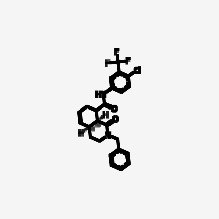 O=C(Nc1ccc(Cl)c(C(F)(F)F)c1)C1CC=C[C@@H]2CCN(Cc3ccccc3)C(=O)[C@H]12